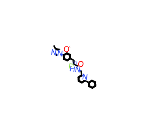 COc1cc(/C=C(\F)C(=O)NCc2cccc(-c3ccccc3)n2)ccc1-n1cnc(C)c1